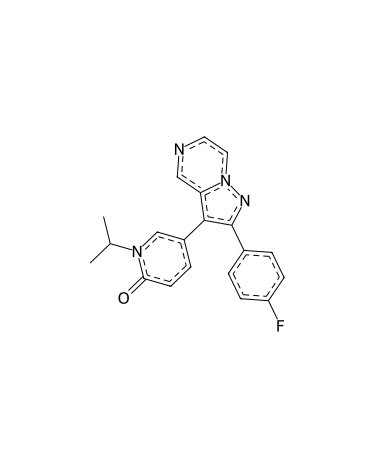 CC(C)n1cc(-c2c(-c3ccc(F)cc3)nn3ccncc23)ccc1=O